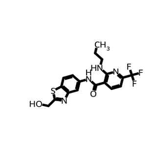 CCCNc1nc(C(F)(F)F)ccc1C(=O)Nc1ccc2sc(CO)nc2c1